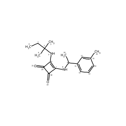 CCC(C)(C)Nc1c(NC(C)c2cccc(C)c2)c(=O)c1=O